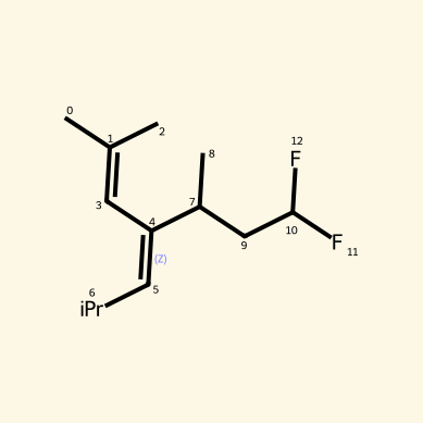 CC(C)=C/C(=C\C(C)C)C(C)CC(F)F